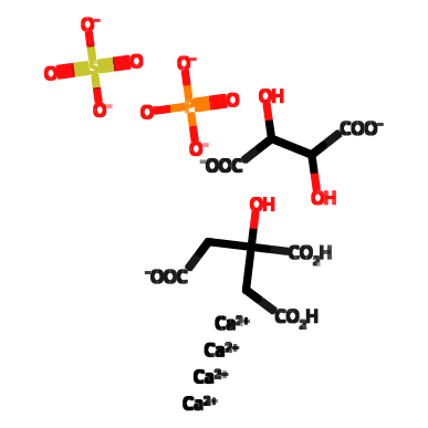 O=C([O-])C(O)C(O)C(=O)[O-].O=C([O-])CC(O)(CC(=O)O)C(=O)O.O=P([O-])([O-])[O-].O=S(=O)([O-])[O-].[Ca+2].[Ca+2].[Ca+2].[Ca+2]